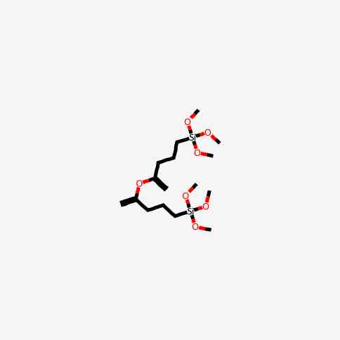 C=C(CCC[Si](OC)(OC)OC)OC(=C)CCC[Si](OC)(OC)OC